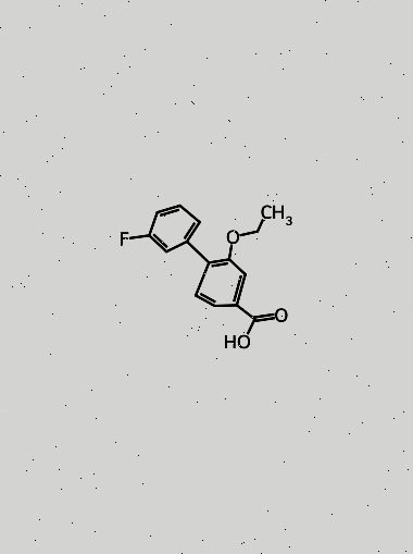 CCOc1cc(C(=O)O)ccc1-c1cccc(F)c1